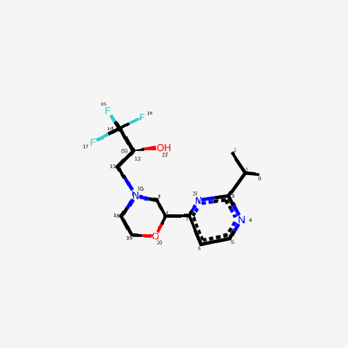 CC(C)c1nccc(C2CN(C[C@H](O)C(F)(F)F)CCO2)n1